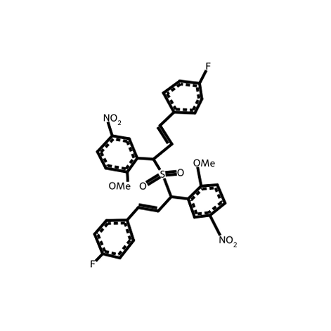 COc1ccc([N+](=O)[O-])cc1C(C=Cc1ccc(F)cc1)S(=O)(=O)C(C=Cc1ccc(F)cc1)c1cc([N+](=O)[O-])ccc1OC